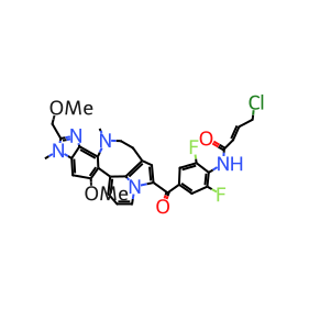 COCc1nc2c3c(c(OC)cc2n1C)-c1cccn2c(C(=O)c4cc(F)c(NC(=O)/C=C/CCl)c(F)c4)cc(c12)CCN3C